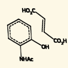 CC(=O)Nc1ccccc1O.O=C(O)/C=C/C(=O)O